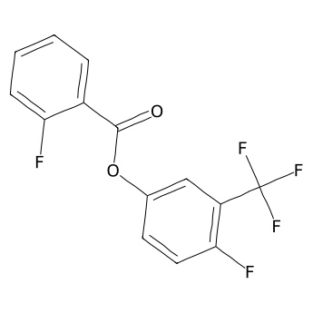 O=C(Oc1ccc(F)c(C(F)(F)F)c1)c1ccccc1F